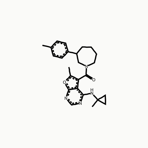 Cc1ccc(C2CCCCN(C(=O)c3c(C)oc4ncnc(NC5(C)CC5)c34)C2)cc1